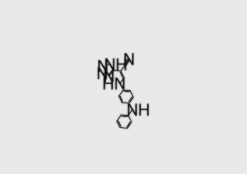 N#CC(=CNc1ccc(Nc2ccccc2)cc1)c1nnn[nH]1